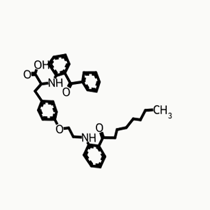 CCCCCCCC(=O)c1ccccc1NCCOc1ccc(CC(Nc2ccccc2C(=O)c2ccccc2)C(=O)O)cc1